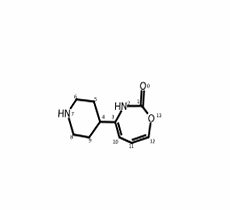 O=C1NC(C2CCNCC2)=CC=CO1